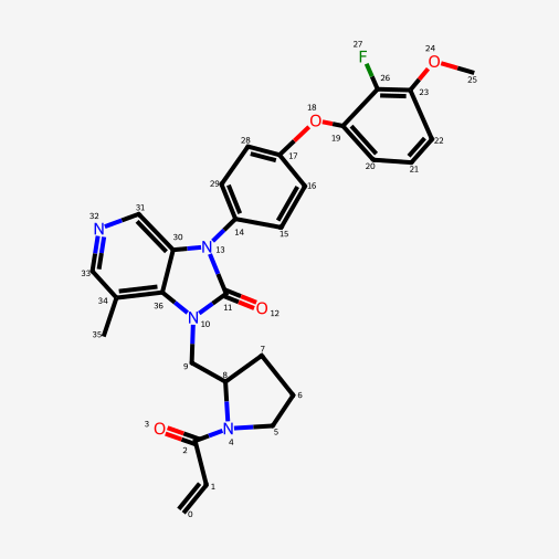 C=CC(=O)N1CCCC1Cn1c(=O)n(-c2ccc(Oc3cccc(OC)c3F)cc2)c2cncc(C)c21